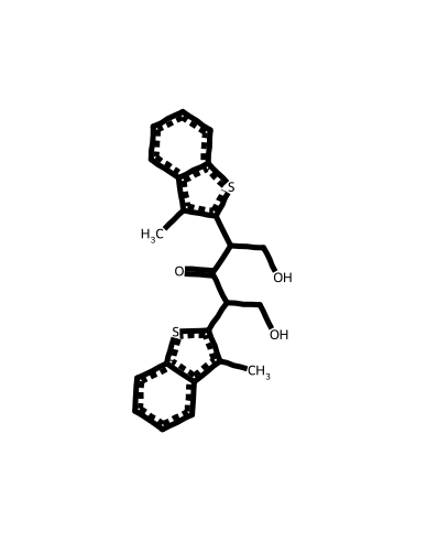 Cc1c(C(CO)C(=O)C(CO)c2sc3ccccc3c2C)sc2ccccc12